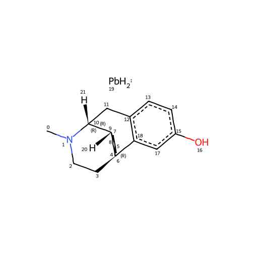 CN1CC[C@]23CCCC[C@H]2[C@H]1Cc1ccc(O)cc13.[PbH2]